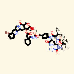 CC[C@@]1(OC(=O)CC2(CNC(=O)OCc3ccc(N(C(=O)[C@@H](NC(=O)OC(C)(C)C)C(C)C)[C@@H](CCCNC(N)=O)C(N)=O)cc3)CCCCC2)C(=O)OCc2c1cc1n(c2=O)Cc2cc3c(Br)cccc3nc2-1